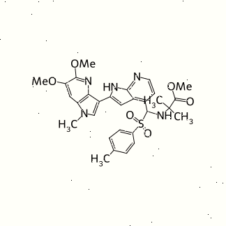 COC(=O)C(C)(C)NC(c1ccnc2[nH]c(-c3cn(C)c4cc(OC)c(OC)nc34)cc12)S(=O)(=O)c1ccc(C)cc1